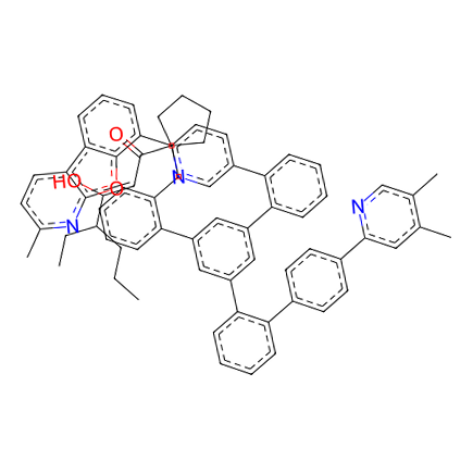 CCCC(CC)/C(O)=C/C(=O)C1(Cc2ccccc2-c2cc(-c3ccccc3-c3ccc(-c4cc(C)c(C)cn4)cc3)cc(-c3ccccc3-c3ccc(-c4cccc5c4oc4nc(C)ccc45)nc3)c2)CCCC1